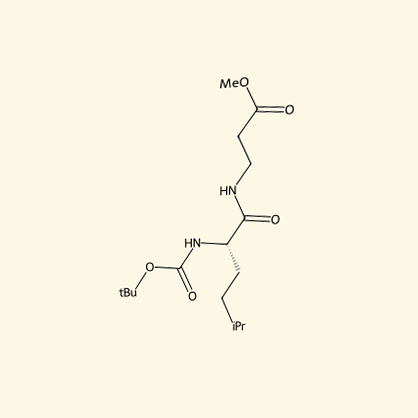 COC(=O)CCNC(=O)[C@H](CCC(C)C)NC(=O)OC(C)(C)C